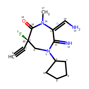 C#C[C@@]1(F)CN(C2CCCC2)C(=N)/C(=C\N)N(C)C1=O